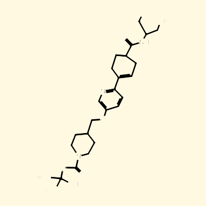 CC(C)(C)OC(=O)N1CCC(COc2ccc(C3=CCC(C(=O)NC(CO)CO)CC3)nc2)CC1